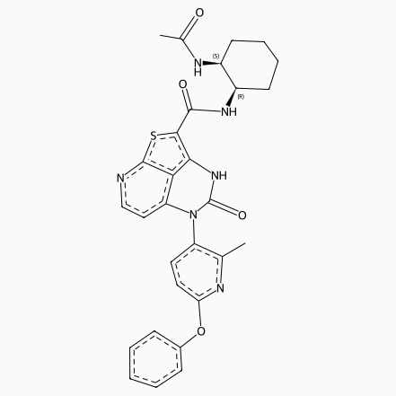 CC(=O)N[C@H]1CCCC[C@H]1NC(=O)c1sc2nccc3c2c1NC(=O)N3c1ccc(Oc2ccccc2)nc1C